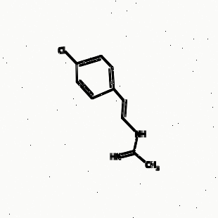 CC(=N)NC=Cc1ccc(Cl)cc1